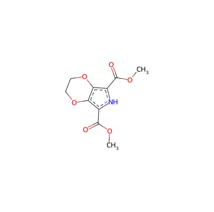 COC(=O)c1[nH]c(C(=O)OC)c2c1OCCO2